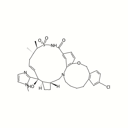 C[C@@H]1[C@@H](C)C/C=C/[C@@](O)(c2nccn2C)[C@@H]2CC[C@H]2CN2CCCCc3cc(Cl)ccc3COc3ccc(cc32)C(=O)NS1(=O)=O